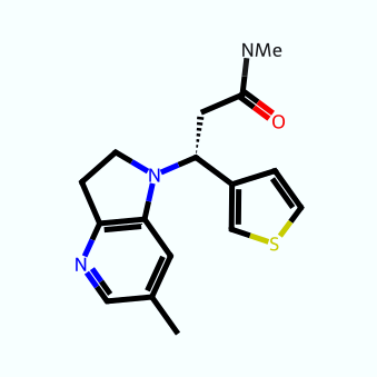 CNC(=O)C[C@H](c1ccsc1)N1CCc2ncc(C)cc21